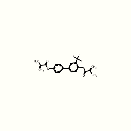 C=C(C)C(=O)Sc1ccc(-c2ccc(SC(=O)C(=C)C)c(C(F)(F)F)c2)cc1